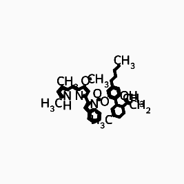 C=C(C)C1CCC(C)=CC1c1c(O)cc(CCCCC)cc1OC(=O)n1c(C2=N/C(=C\c3[nH]c(C)cc3C)C(OC)=C2)cc2ccccc21